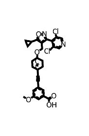 COc1cc(C#CC23CCC(OCc4c(-c5c(Cl)cncc5Cl)noc4C4CC4)(CC2)CC3)cc(C(=O)O)c1